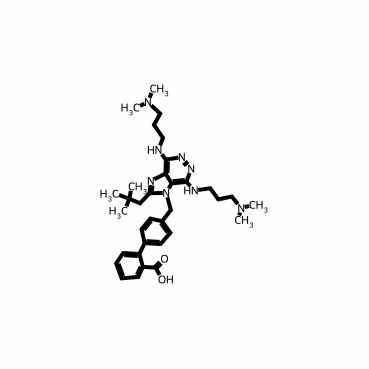 CN(C)CCCNc1nnc(NCCCN(C)C)c2c1nc(CC(C)(C)C)n2Cc1ccc(-c2ccccc2C(=O)O)cc1